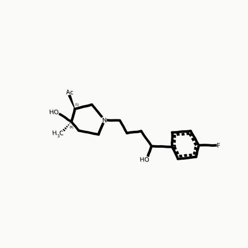 CC(=O)[C@H]1CN(CCCC(O)c2ccc(F)cc2)CC[C@@]1(C)O